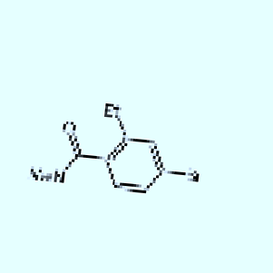 CCc1cc(Br)ccc1C(=O)NC